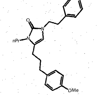 CCCn1c(CCCc2ccc(OC)cc2)cn(CCc2ccccc2)c1=O